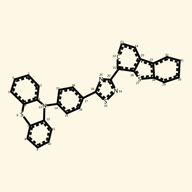 c1ccc2c(c1)Sc1ccccc1N2c1ccc(-c2nc(-c3cccc4c3sc3ccccc34)ns2)cc1